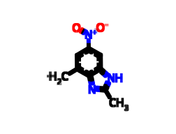 [CH2]c1cc([N+](=O)[O-])cc2[nH]c(C)nc12